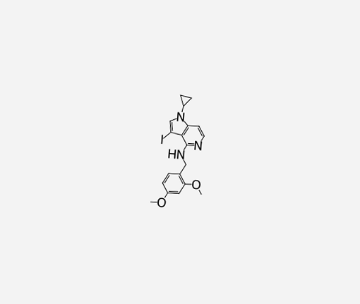 COc1ccc(CNc2nccc3c2c(I)cn3C2CC2)c(OC)c1